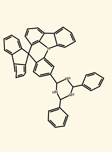 c1ccc(C2NC(c3ccccc3)NC(c3ccc4c(c3)-n3c5ccccc5c5cccc(c53)C43c4ccccc4-c4ccccc43)N2)cc1